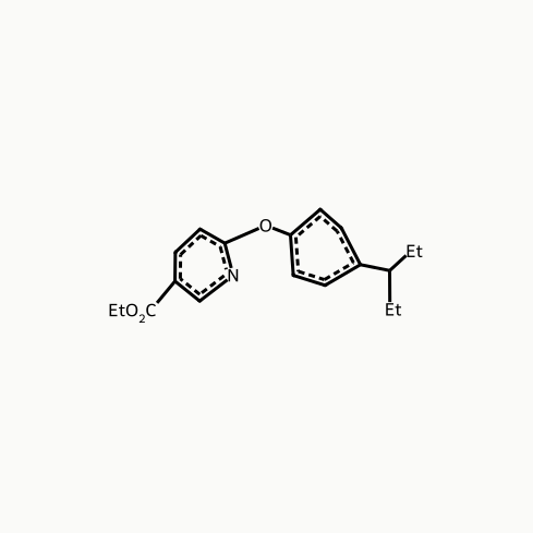 CCOC(=O)c1ccc(Oc2ccc(C(CC)CC)cc2)nc1